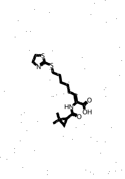 CC1(C)CC1C(=O)NC(=CCCCCCSC1=NCCS1)C(=O)O